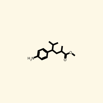 COC(=O)C(C)CC(c1ccc(N)cc1)C(C)C